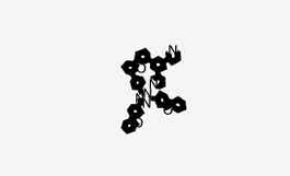 c1cncc(-c2cc(-c3cccnc3)cc(-c3cccc4c3oc3c(-c5ccc(-c6nc(-c7ccc8c(c7)oc7ccccc78)nc(-c7ccc8c(c7)oc7ccccc78)n6)cc5)cccc34)c2)c1